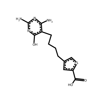 Nc1nc(N)c(CCCCc2csc(C(=O)O)c2)c(O)n1